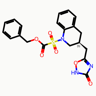 O=C(OCc1ccccc1)S(=O)(=O)N1C[C@H](Cc2nc(=O)[nH]o2)Cc2ccccc21